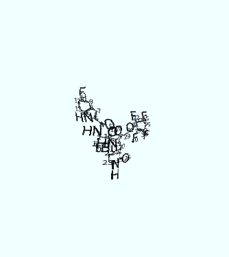 CC(C)(C)C[C@H](NC(=O)c1cc2cc(F)ccc2[nH]1)C(=O)N[C@@H](C[C@@H]1CCNC1=O)C(=O)COc1c(F)c(F)cc(F)c1F